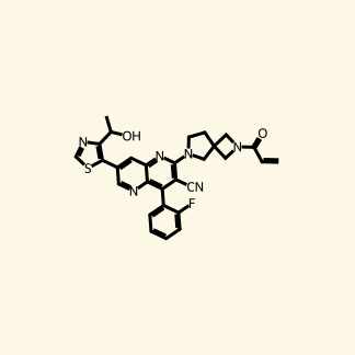 C=CC(=O)N1CC2(CCN(c3nc4cc(-c5scnc5C(C)O)cnc4c(-c4ccccc4F)c3C#N)C2)C1